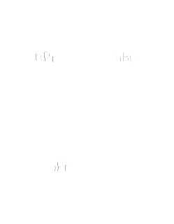 CCCCC(CCC)CCC(C)C